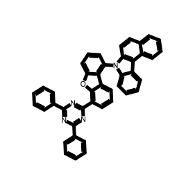 c1ccc(-c2nc(-c3ccccc3)nc(-c3cccc4c3oc3cccc(-n5c6ccccc6c6c7ccccc7ccc65)c34)n2)cc1